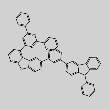 c1ccc(-c2nc(-c3ccccc3)nc(-c3cccc4oc5ccc(-c6cccc(-c7ccc8c(c7)-c7ccccc7C8c7ccccc7)c6)cc5c34)n2)cc1